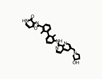 Cc1c(Nc2nccc3cc(CN4CC[C@@H](O)C4)cnc23)cccc1-c1cccc(-c2nc3c(=O)[nH]ccc3o2)c1C